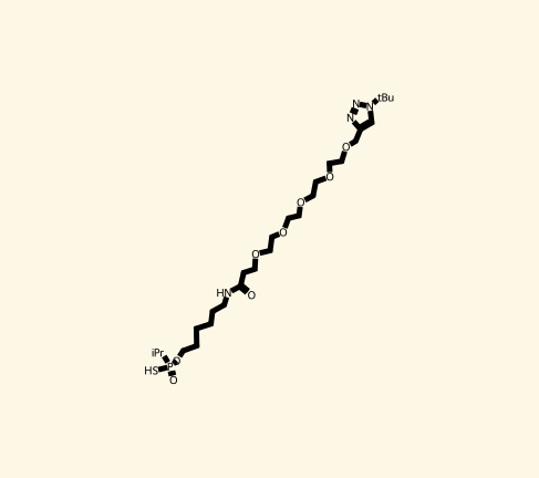 CC(C)P(=O)(S)OCCCCCCNC(=O)CCOCCOCCOCCOCCOCc1cn(C(C)(C)C)nn1